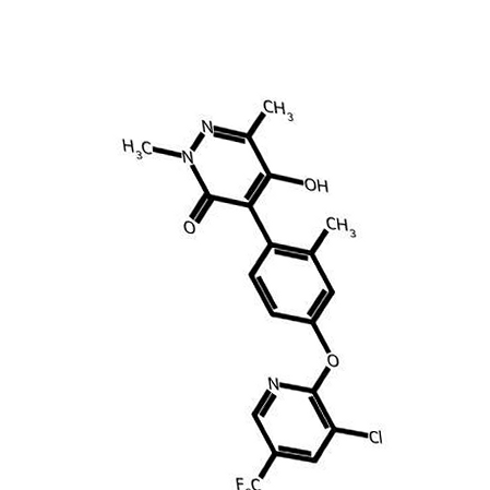 Cc1cc(Oc2ncc(C(F)(F)F)cc2Cl)ccc1-c1c(O)c(C)nn(C)c1=O